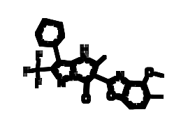 COc1c(C)ccc2oc(-c3c(C)[nH]c4c(-c5ccccc5)c(C(F)(F)F)nn4c3=O)nc12